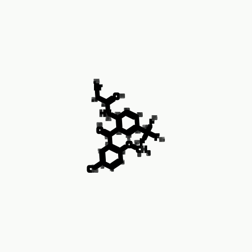 COc1ccc(Cl)cc1C(=O)c1cc(C(F)(F)F)ccc1NC(=O)CBr